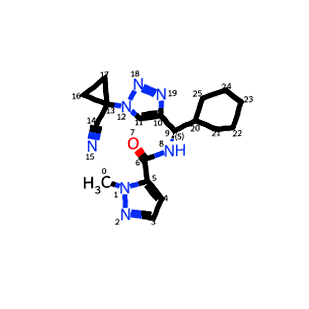 Cn1nccc1C(=O)N[C@H](c1cn(C2(C#N)CC2)nn1)C1CCCCC1